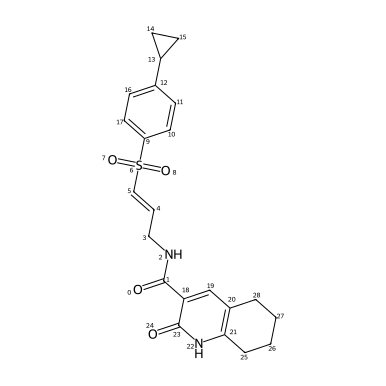 O=C(NC/C=C/S(=O)(=O)c1ccc(C2CC2)cc1)c1cc2c([nH]c1=O)CCCC2